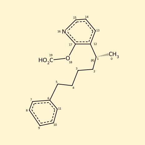 C[C@H](CCCCc1ccccc1)c1cccnc1OC(=O)O